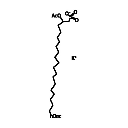 CCCCCCCCCCCCCCCCCCCCCCCCCCCC(CS(=O)(=O)[O-])OC(C)=O.[K+]